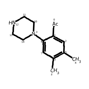 CC(=O)c1cc(C)c(C)cc1N1CCNCC1